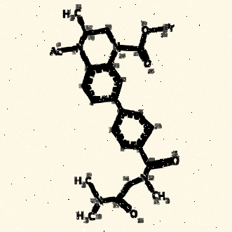 CC(=O)N1c2ccc(-c3ccc(C(=O)N(C)CC(=O)N(C)C)cc3)cc2N(C(=O)OC(C)C)C[C@@H]1C